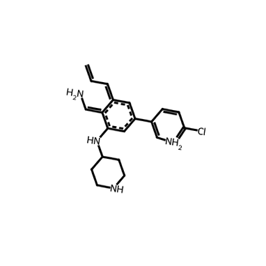 C=C/C=c1/cc(C(/C=C\C(=C)Cl)=C/N)cc(NC2CCNCC2)/c1=C/N